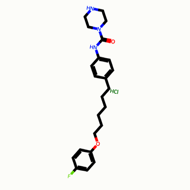 Cl.O=C(Nc1ccc(CCCCCCOc2ccc(F)cc2)cc1)N1CCNCC1